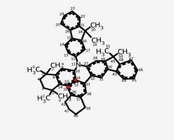 CC1(C)CCC(C)(C)c2cc(N(c3ccc4c(c3)C(C)(C)c3ccccc3-4)c3cc4c(cc3-c3ccc5c(c3)CCCC5)-c3ccccc3C4(C)C)ccc21